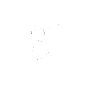 CC(C)n1nnc2ccc(F)cc21